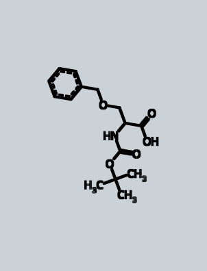 CC(C)(C)OC(=O)NC(COCc1ccccc1)C(=O)O